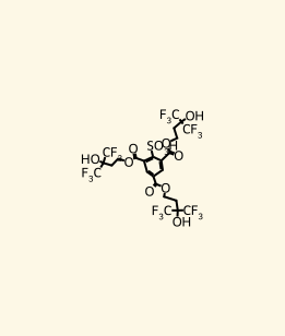 O=C(OCCC(O)(C(F)(F)F)C(F)(F)F)c1cc(C(=O)OCCC(O)(C(F)(F)F)C(F)(F)F)c(S(=O)(=O)O)c(C(=O)OCCC(O)(C(F)(F)F)C(F)(F)F)c1